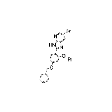 CC(C)Oc1cc(OCc2ccccc2)ccc1-c1nc2cc(Br)cnc2[nH]1